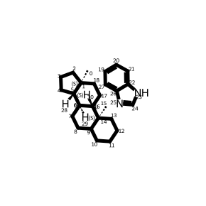 C[C@@]12CCC[C@H]1[C@@H]1CCC3CCCC[C@]3(C)[C@H]1CC2.c1ccc2[nH]cnc2c1